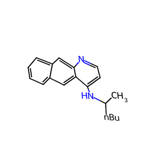 CCCCC(C)Nc1ccnc2cc3ccccc3cc12